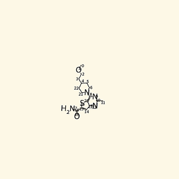 COCCC1CCN(c2nc(C)nc3cc(C(N)=O)sc23)CC1